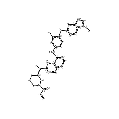 C=CC(=O)N1CCC[C@@H](N(C)c2ncc3ncnc(Nc4ccc(Oc5ccc6c(c5)nnn6C)c(C)c4)c3n2)C1